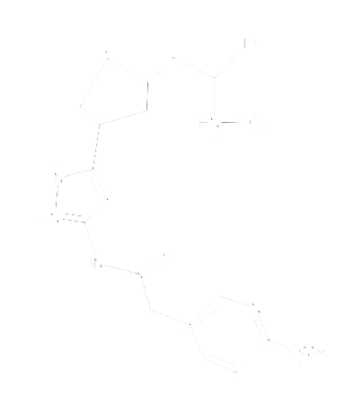 CCC(CC1CCC(c2cc(NC(=O)Cc3ccc(OC)nc3)n[nH]2)C1)NC(=O)O